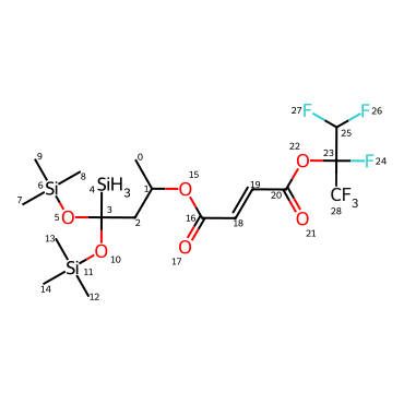 CC(CC([SiH3])(O[Si](C)(C)C)O[Si](C)(C)C)OC(=O)C=CC(=O)OC(F)(C(F)F)C(F)(F)F